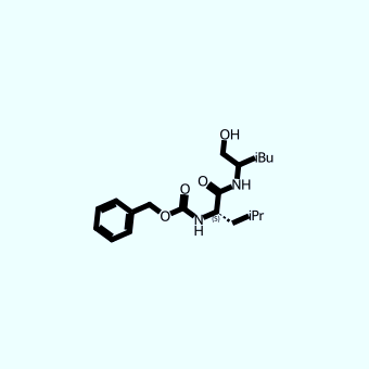 CCC(C)C(CO)NC(=O)[C@H](CC(C)C)NC(=O)OCc1ccccc1